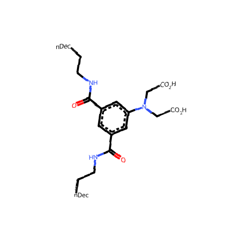 CCCCCCCCCCCCNC(=O)c1cc(C(=O)NCCCCCCCCCCCC)cc(N(CC(=O)O)CC(=O)O)c1